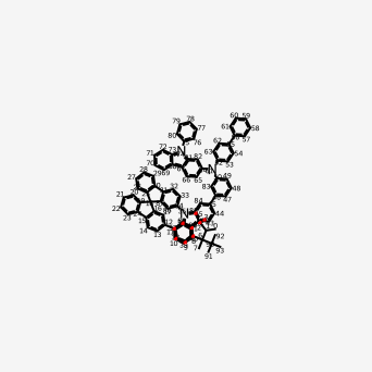 CC(C(C)(C)C)C(C)(c1ccc(-c2ccc3c(c2)C2(c4ccccc4-3)c3ccccc3-c3ccc(-n4c5ccccc5c5ccc(-c6cccc(N(c7ccc(-c8ccccc8)cc7)c7ccc8c9ccccc9n(-c9ccccc9)c8c7)c6)cc54)cc32)cc1)C(C)(C)C